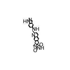 CN1C(=O)NC(=O)C12Cc1cc3ccc(CNc4ccc5[nH]ncc5c4)nc3cc1C2